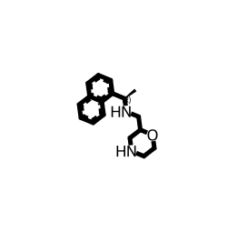 C[C@@H](NCC1CNCCO1)c1cccc2ccccc12